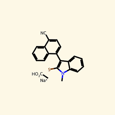 CC(=O)O.Cn1c([S-])c(-c2ccc(C#N)c3ccccc23)c2ccccc21.[Na+]